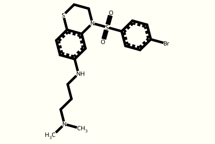 CN(C)CCCNc1ccc2c(c1)N(S(=O)(=O)c1ccc(Br)cc1)CCS2